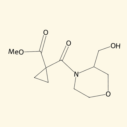 COC(=O)C1(C(=O)N2CCOCC2CO)CC1